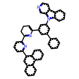 C1=C(c2cc(-c3ccccc3)cc(-n3c4ccccc4c4ccncc43)c2)N=C(c2cccc(-c3cc4ccccc4c4ccccc34)n2)CC1